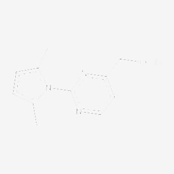 Cc1ccc(C)n1-c1nccc(CC(=O)O)n1